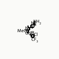 COc1nc(C)c(-c2ccn3nc(N)nc3c2)cc1C(=O)NCc1cc(C(F)(F)F)cc(Cl)c1F